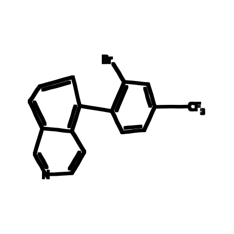 FC(F)(F)c1ccc(-c2cccc3cnccc23)c(Br)c1